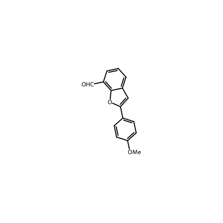 COc1ccc(-c2cc3cccc(C=O)c3o2)cc1